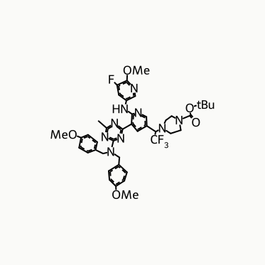 COc1ccc(CN(Cc2ccc(OC)cc2)c2nc(C)nc(-c3cc(C(N4CCN(C(=O)OC(C)(C)C)CC4)C(F)(F)F)cnc3Nc3cnc(OC)c(F)c3)n2)cc1